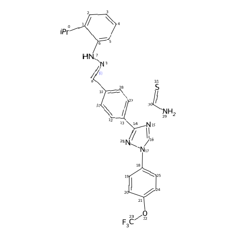 CC(C)c1ccccc1N/N=C/c1ccc(-c2ncn(-c3ccc(OC(F)(F)F)cc3)n2)cc1.NC=S